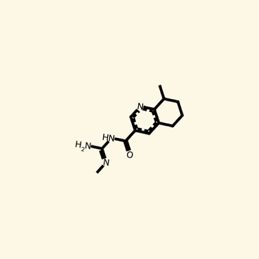 CN=C(N)NC(=O)c1cnc2c(c1)CCCC2C